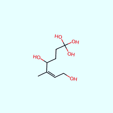 CC(=CCO)C(O)CCC(O)(O)O